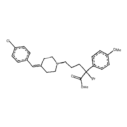 COC(=O)C(CCCN1CCC(=Cc2ccc(Cl)cc2)CC1)(c1ccc(OC)cc1)C(C)C